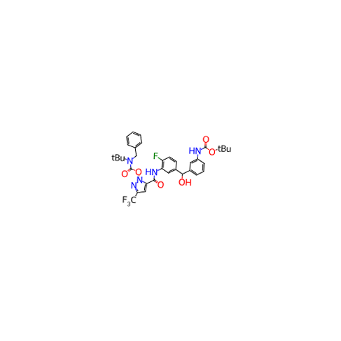 CC(C)(C)OC(=O)Nc1cccc(C(O)c2ccc(F)c(NC(=O)c3cc(C(F)(F)F)nn3OC(=O)N(Cc3ccccc3)C(C)(C)C)c2)c1